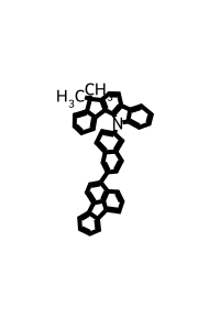 CC1(C)c2ccccc2-c2c1ccc1c3ccccc3n(-c3ccc4cc(-c5ccc6c7c(cccc57)-c5ccccc5-6)ccc4c3)c21